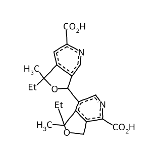 CCC1(C)OC(c2cnc(C(=O)O)c3c2C(C)(CC)OC3)c2cnc(C(=O)O)cc21